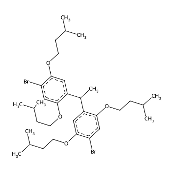 CC(C)CCOc1cc(C(C)c2cc(OCCC(C)C)c(Br)cc2OCCC(C)C)c(OCCC(C)C)cc1Br